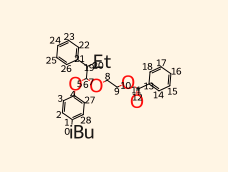 CCC(C)c1ccc(OC(OCCOC(=O)c2ccccc2)C(CC)c2ccccc2)cc1